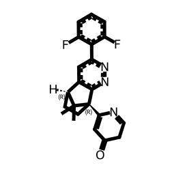 CC1(C)[C@H]2CC[C@@]1(C1=CC(=O)CC=N1)c1nnc(-c3c(F)cccc3F)cc12